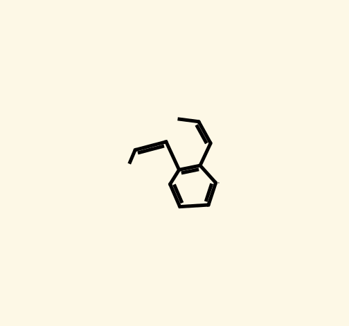 C/C=C\c1[c]cccc1/C=C\C